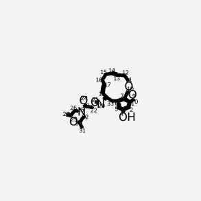 Cc1cc(O)cc2c1C(=O)OCC/C=C/CC/C=C/C(=N\OCC(=O)N1CC(C)OC(C)C1)C2